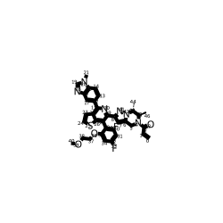 C=CC(=O)N1Cc2cc(-c3nc(-c4ccc5c(c4)ncn5C)c4ccsc4c3-c3c(F)cc(F)cc3OCCOC)nn2[C@H](C)[C@H]1C